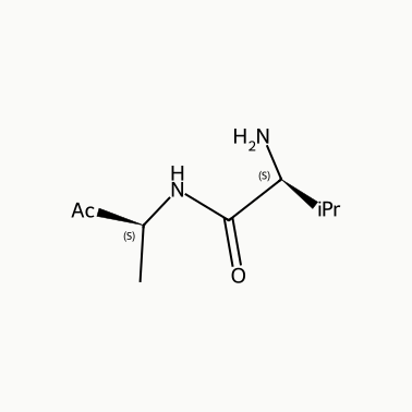 CC(=O)[C@H](C)NC(=O)[C@@H](N)C(C)C